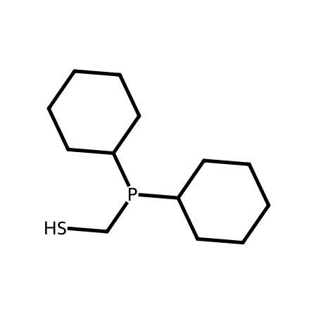 SCP(C1CCCCC1)C1CCCCC1